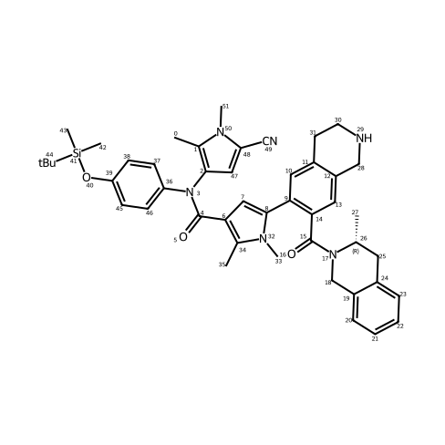 Cc1c(N(C(=O)c2cc(-c3cc4c(cc3C(=O)N3Cc5ccccc5C[C@H]3C)CNCC4)n(C)c2C)c2ccc(O[Si](C)(C)C(C)(C)C)cc2)cc(C#N)n1C